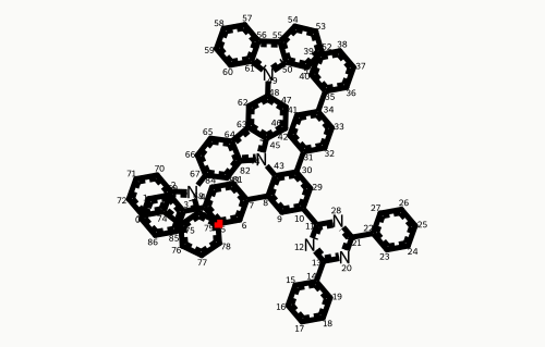 c1ccc(-c2ccc(-c3cc(-c4nc(-c5ccccc5)nc(-c5ccccc5)n4)cc(-c4ccc(-c5ccccc5)cc4)c3-n3c4ccc(-n5c6ccccc6c6ccccc65)cc4c4ccc(-n5c6ccccc6c6ccccc65)cc43)cc2)cc1